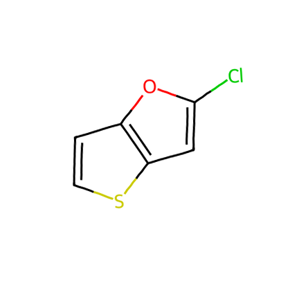 Clc1cc2sccc2o1